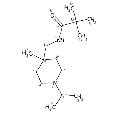 CC(C)N1CCC(C)(CNC(=O)C(C)(C)C)CC1